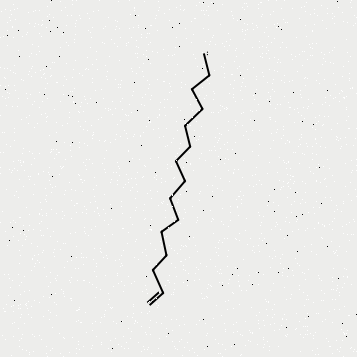 [CH]CCCCCCCCCCCCC=C